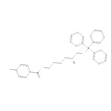 O=C(OCCCC[C@H](O)COC(c1ccccc1)(c1ccccc1)c1ccccc1)c1ccc([N+](=O)[O-])cc1